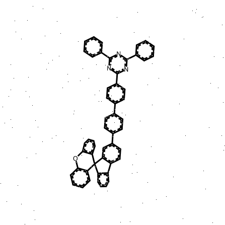 c1ccc(-c2nc(-c3ccccc3)nc(-c3ccc(-c4ccc(-c5ccc6c(c5)C5(c7ccccc7Oc7ccccc75)c5ccccc5-6)cc4)cc3)n2)cc1